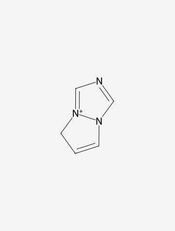 C1=Cn2cnc[n+]2C1